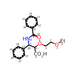 CCOCCOC(C(=O)O)[C@H](NC(=O)c1ccccc1)c1ccccc1